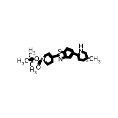 C[C@H]1CCC(c2ccc3sc(C4=CCN(C(=O)OC(C)(C)C)CC4)nc3c2)NC1